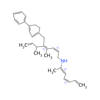 C=C/C=C\C=C(/C)NC/C=C\C(C)=C(/CC1=CC=C(c2ccccc2)CC1)C(C)C=C